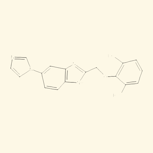 Cc1cccc(C)c1OCc1nc2cc(-n3ccnc3)ccc2[nH]1